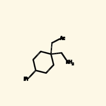 CC(=O)CC1(CN)CCC(C(C)C)CC1